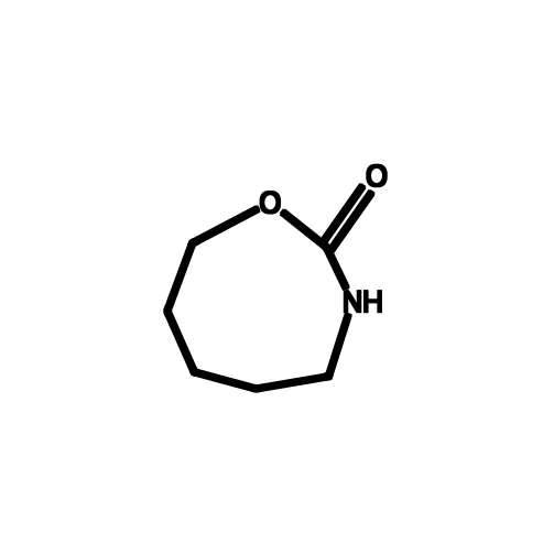 O=C1NCCCCCO1